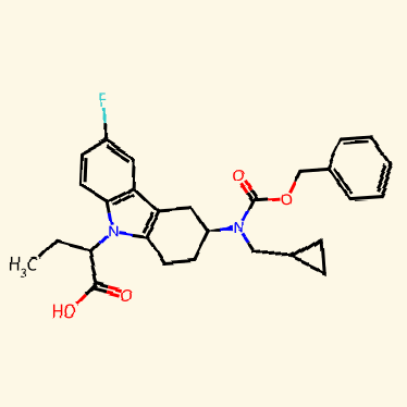 CCC(C(=O)O)n1c2c(c3cc(F)ccc31)C[C@@H](N(CC1CC1)C(=O)OCc1ccccc1)CC2